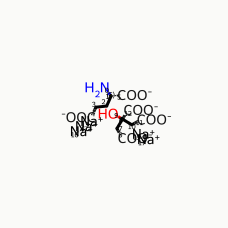 N[C@@H](CCC(=O)[O-])C(=O)[O-].O=C([O-])CC(O)(CC(=O)[O-])C(=O)[O-].[Na+].[Na+].[Na+].[Na+].[Na+]